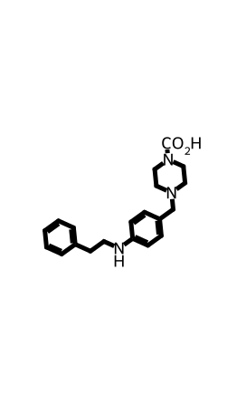 O=C(O)N1CCN(Cc2ccc(NCCc3ccccc3)cc2)CC1